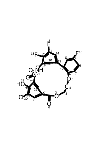 O=C1OCCOc2ccc(F)cc2-c2cc(F)c(F)c(c2)NS(=O)(=O)c2cc1cc(Cl)c2O